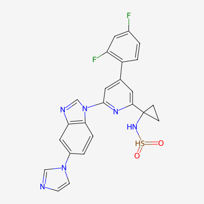 O=[SH](=O)NC1(c2cc(-c3ccc(F)cc3F)cc(-n3cnc4cc(-n5ccnc5)ccc43)n2)CC1